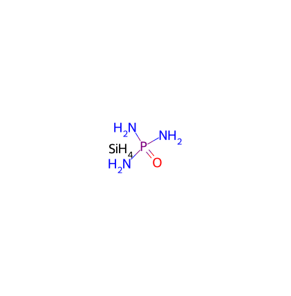 NP(N)(N)=O.[SiH4]